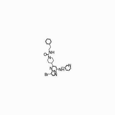 O=C(NCCc1ccccc1)N1CCC(c2cc(NCc3cccnc3)n3ncc(Br)c3n2)CC1